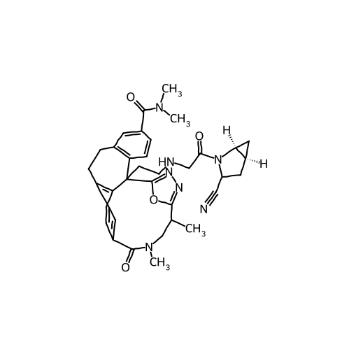 CC1CN(C)C(=O)c2ccc3c(c2)CCc2cc(C(=O)N(C)C)ccc2C3(CCNCC(=O)N2C(C#N)C[C@@H]3C[C@@H]32)c2nnc1o2